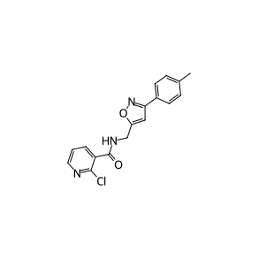 Cc1ccc(-c2cc(CNC(=O)c3cccnc3Cl)on2)cc1